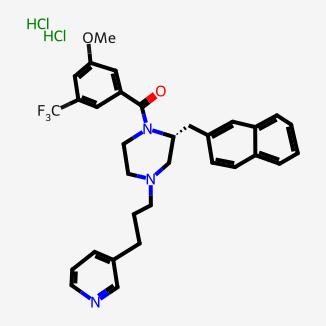 COc1cc(C(=O)N2CCN(CCCc3cccnc3)C[C@H]2Cc2ccc3ccccc3c2)cc(C(F)(F)F)c1.Cl.Cl